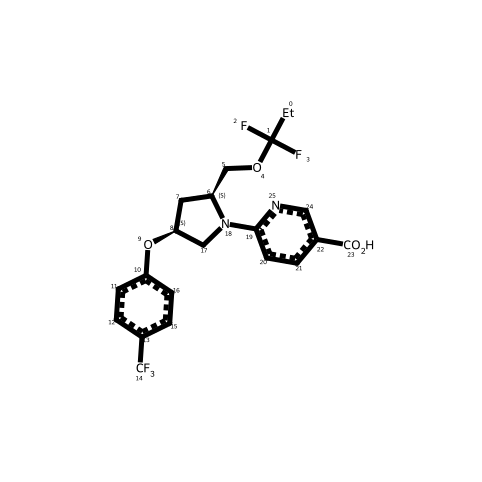 CCC(F)(F)OC[C@@H]1C[C@H](Oc2ccc(C(F)(F)F)cc2)CN1c1ccc(C(=O)O)cn1